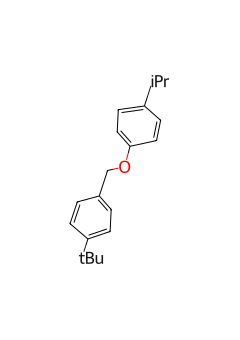 CC(C)c1ccc(OCc2ccc(C(C)(C)C)cc2)cc1